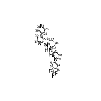 FC(F)(F)c1ccc(N2CCC[C@H](N[C@@H]3CCCC[C@H]3Nc3cc(-c4ccncc4)ccn3)C2)cc1